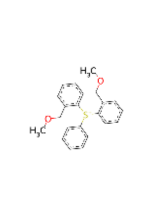 COCc1ccccc1[S+](c1ccccc1)c1ccccc1COC